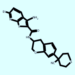 CCc1ccc2c(N)c(C(=O)NC3COc4cc(C5(C#N)CCSCC5)ccc4C3)sc2n1